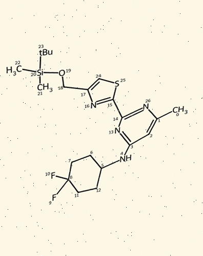 Cc1cc(NC2CCC(F)(F)CC2)nc(-c2nc(CO[Si](C)(C)C(C)(C)C)cs2)n1